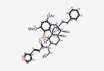 COc1cc(OC(C)=O)c2c3c1O[C@H]1[C@H](N(CC(C)C)C(=O)/C=C/c4ccoc4)CC[C@H]4[C@@H](C2)N(CCc2ccccc2)CC[C@@]341